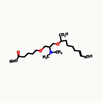 CCCCCCCCC=CCCCCC(OCC(COCCCCC(=O)OC)N(C)C)C(=O)O